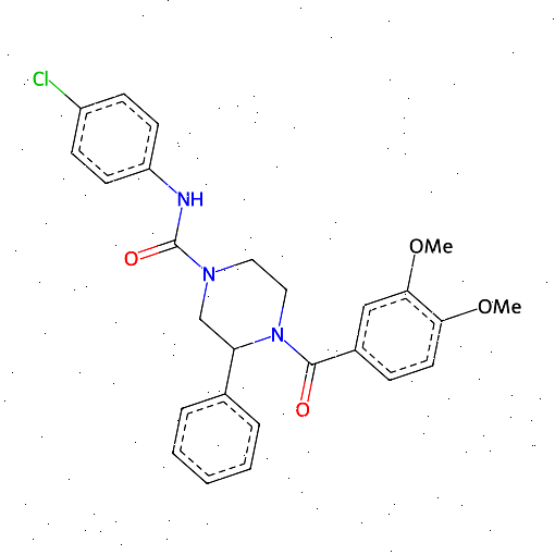 COc1ccc(C(=O)N2CCN(C(=O)Nc3ccc(Cl)cc3)CC2c2ccccc2)cc1OC